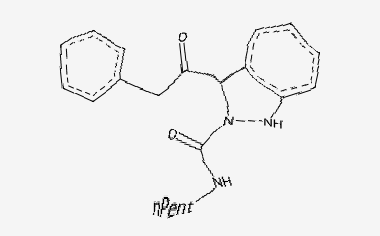 CCCCCNC(=O)N1Nc2ccccc2C1C(=O)Cc1ccccc1